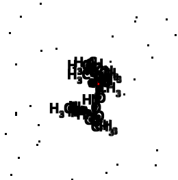 CC[N+]1=c2cc3c(cc2C(C)CC1(C)C)=C(c1ccccc1C(=O)N(C)CCCC(=O)NCCOCCC(NCc1ccc(-c2nnc(C)nn2)cc1)=C1C(=O)CC(C)(C)CC1=O)c1cc2c4c(c1C3(C)C)CCCN4CCC2